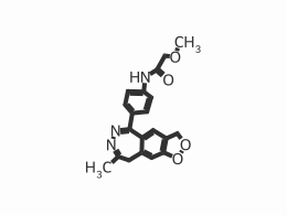 COCC(=O)Nc1ccc(C2=NN=C(C)Cc3cc4c(cc32)COO4)cc1